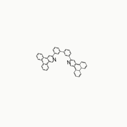 C1=CC2=c3cnc(-c4cccc(-c5cccc(-c6cc7c8ccccc8c8ccccc8c7cn6)c5)c4)cc3=C3C=CC=CC3C2C=C1